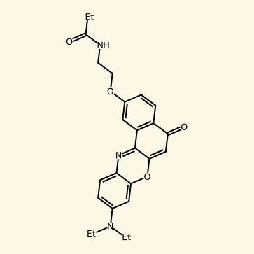 CCC(=O)NCCOc1ccc2c(=O)cc3oc4cc(N(CC)CC)ccc4nc-3c2c1